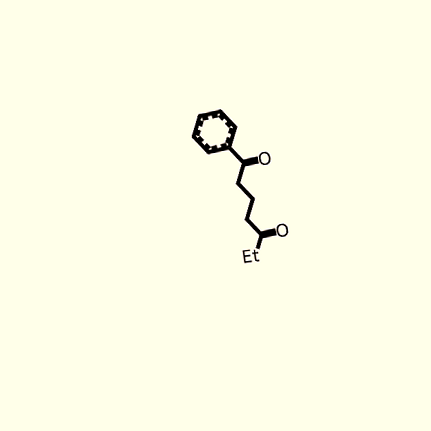 CCC(=O)CCCC(=O)c1ccccc1